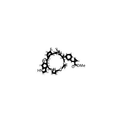 COC(=O)C1(Cc2cccc(C3(C)CCC(F)(F)COc4ccn(n4)Cc4c(c(F)cc5[nH]ccc45)C(=O)c4ccc(F)c(c4)-c4nc3nn4C)c2)CC1